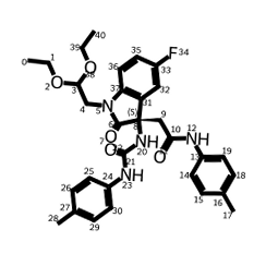 CCOC(CN1C(=O)[C@@](CC(=O)Nc2ccc(C)cc2)(NC(=O)Nc2ccc(C)cc2)c2cc(F)ccc21)OCC